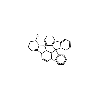 CC1C=CC2C3=CCCC(Cl)C3OC2C1C1(c2ccccc2)C2=C(CCC=C2)C2=CC=CCC21